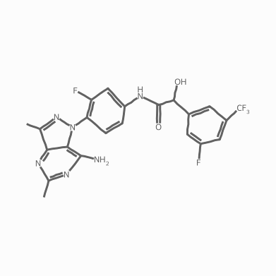 Cc1nc(N)c2c(n1)c(C)nn2-c1ccc(NC(=O)C(O)c2cc(F)cc(C(F)(F)F)c2)cc1F